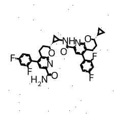 NC(=O)c1cc(-c2ccc(F)cc2F)c2c(n1)O[C@@H](C1CC1NC(=O)c1cc(-c3ccc(F)cc3F)c3c(n1)O[C@H](C1CC1)CC3)CC2